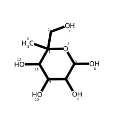 CC1(CO)OC(O)C(O)C(O)C1O